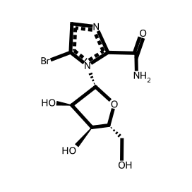 NC(=O)c1ncc(Br)n1[C@@H]1O[C@H](CO)[C@@H](O)[C@H]1O